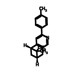 Cc1ccc(-c2cc3c(cn2)C[C@@H]2C[C@H]3C2(C)C)cc1